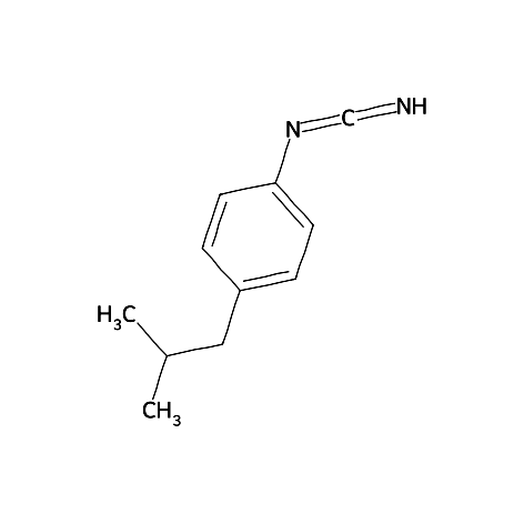 CC(C)Cc1ccc(N=C=N)cc1